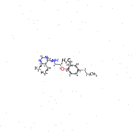 CCCc1ccc(OCCNc2ncnc(C)c2CC)c(C)c1